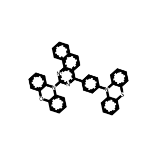 c1ccc2c(c1)Oc1ccccc1N2c1nc(-c2ccc(N3c4ccccc4Sc4ccccc43)cc2)c2ccc3ccccc3c2n1